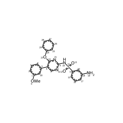 COc1cccc(-c2cnc(NS(=O)(=O)c3cccc(N)c3)nc2Oc2ccccc2)c1